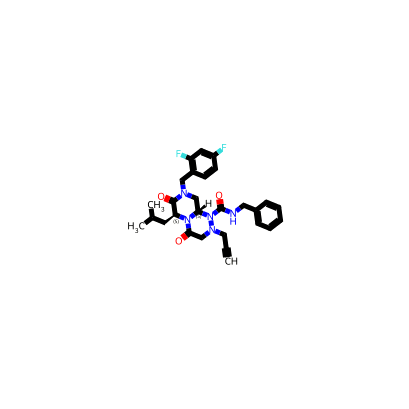 C#CCN1CC(=O)N2[C@@H](CC(C)C)C(=O)N(Cc3ccc(F)cc3F)C[C@@H]2N1C(=O)NCc1ccccc1